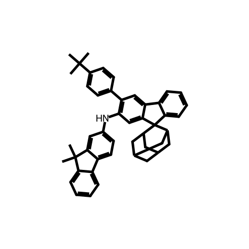 CC(C)(C)c1ccc(-c2cc3c(cc2Nc2ccc4c(c2)C(C)(C)c2ccccc2-4)C2(c4ccccc4-3)C3CC4CC(C3)CC2C4)cc1